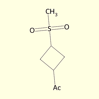 CC(=O)C1CC(S(C)(=O)=O)C1